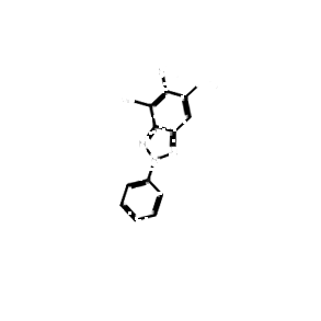 Cc1cc2nn(-c3ccccc3)nc2c(Br)c1N